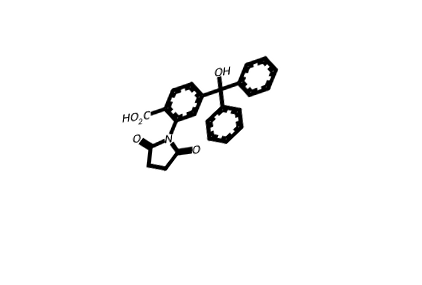 O=C(O)c1ccc(C(O)(c2ccccc2)c2ccccc2)cc1N1C(=O)CCC1=O